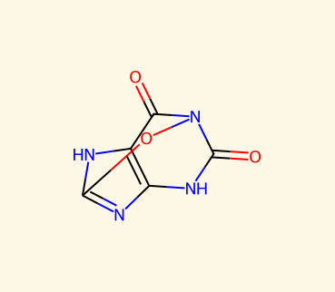 O=c1[nH]c2nc3[nH]c2c(=O)n1O3